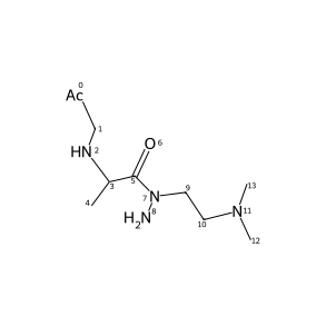 CC(=O)CNC(C)C(=O)N(N)CCN(C)C